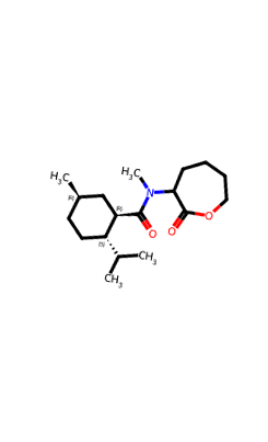 CC(C)[C@@H]1CC[C@@H](C)C[C@H]1C(=O)N(C)C1CCCCOC1=O